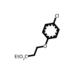 CCOC(=O)CCOc1ccc(Cl)cc1